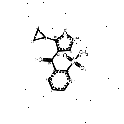 CS(=O)(=O)c1ncccc1C(=O)c1cnoc1C1CC1